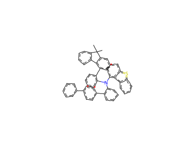 CC1(C)c2ccccc2-c2c(-c3ccccc3N(c3ccccc3-c3ccc(-c4ccccc4)cc3)c3cccc4sc5ccccc5c34)cccc21